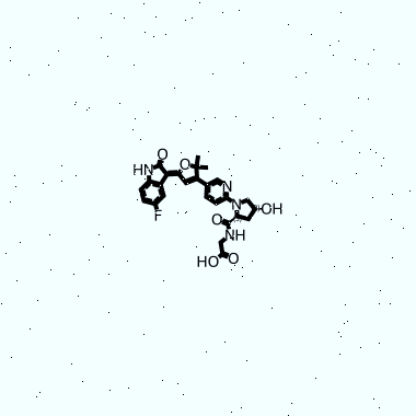 CC1(C)OC(=C2C(=O)Nc3ccc(F)cc32)C=C1c1ccc(N2C[C@H](O)C[C@H]2C(=O)NCC(=O)O)nc1